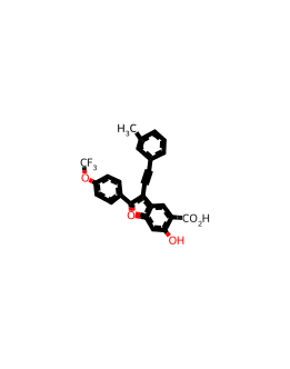 Cc1cccc(C#Cc2c(-c3ccc(OC(F)(F)F)cc3)oc3cc(O)c(C(=O)O)cc23)c1